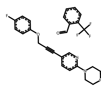 Fc1ccc(OCC#Cc2ccc(N3CCNCC3)nc2)cc1.O=Cc1ccccc1C(F)(F)F